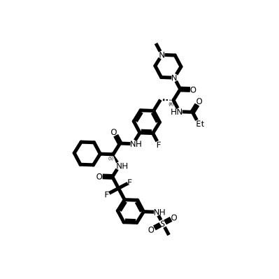 CCC(=O)N[C@H](Cc1ccc(NC(=O)[C@@H](NC(=O)C(F)(F)c2cccc(NS(C)(=O)=O)c2)C2CCCCC2)c(F)c1)C(=O)N1CCN(C)CC1